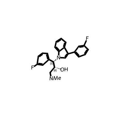 CNC[C@@H](O)[C@H](c1cccc(F)c1)n1cc(-c2cccc(F)c2)c2ccccc21